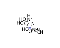 N#C/C(C(=O)NCc1ccncn1)=C(/O)c1cc(N)c(O)c(O)c1